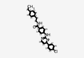 CCc1ccc(CCNC(=O)c2ccc(Nc3nccc(-c4ccc(Cl)cc4)n3)cc2)cc1